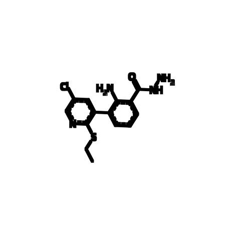 CCSc1ncc(Cl)cc1-c1cccc(C(=O)NN)c1N